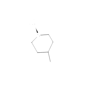 CC[C@H](C)N1CCC(O)CC1